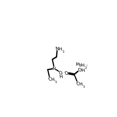 CC(=O)O.CCN(O)CCN.[PbH2]